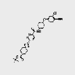 CC(C)(C)OC(=O)N1CCC2(CC1)CN(c1ccc(C(=O)N[C@H]3CC[C@H](Oc4ccc(C#N)c(Cl)c4)CC3)nn1)C2